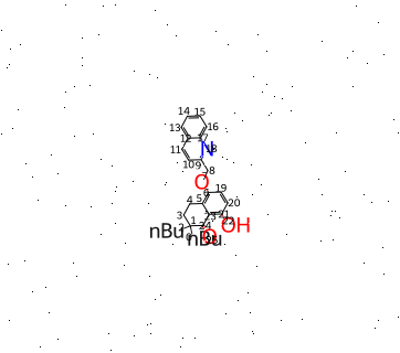 CCCCC1(CCCC)CCc2c(OCc3ccc4ccccc4n3)ccc(O)c2C1=O